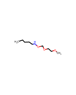 CCCCCNOCOCCOC